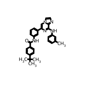 Cc1cccc(Nc2nc(-c3cccc(NC(=O)c4ccc(C(C)(C)C)cc4)c3)cn3ccnc23)c1